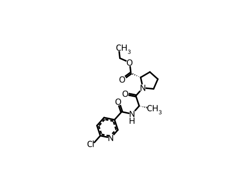 CCOC(=O)[C@@H]1CCCN1C(=O)[C@H](C)NC(=O)c1ccc(Cl)nc1